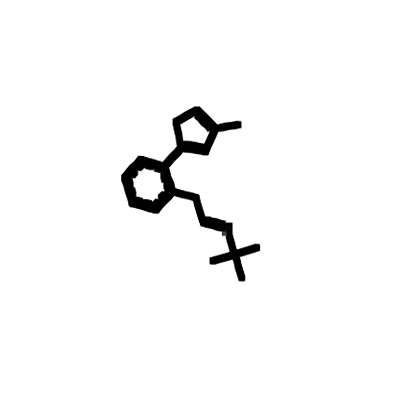 CC1=CCC(c2ccccc2CC=NC(C)(C)C)=C1